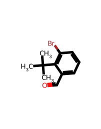 CC(C)(C)c1c(Br)cccc1C=O